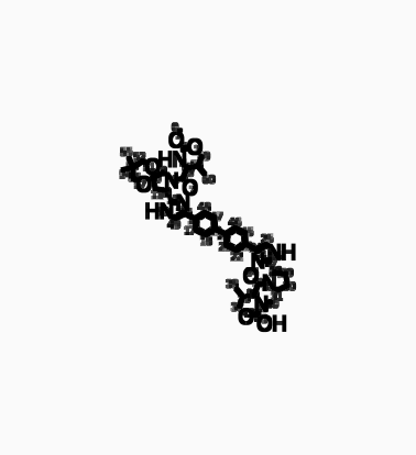 COC(=O)N[C@H](C(=O)N1CC2(C[C@H]1c1nc(-c3ccc(-c4ccc(-c5c[nH]c([C@@H]6CCCN6C(=O)[C@H](C(C)C)N(C)C(=O)O)n5)cc4)cc3)c[nH]1)OCC(C)(C)CO2)C(C)C